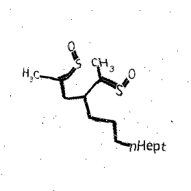 CCCCCCCCCCC(CC(C)=S=O)C(C)=S=O